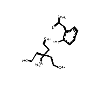 NC(CCO)(CCO)CCO.O=C(O)c1ccccc1O